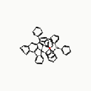 c1ccc(-c2cccc(N(c3ccccc3)c3cc4ccccc4c4c3C3(c5ccccc5-c5c(N(c6ccccc6)c6ccccc6)cccc53)c3ccccc3-4)c2)cc1